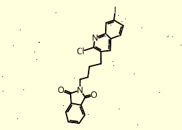 O=C1c2ccccc2C(=O)N1CCCCc1cc2ccc(I)cc2nc1Cl